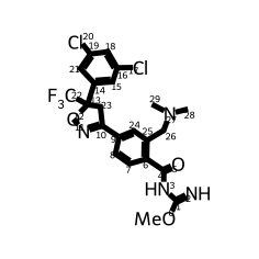 COC(=N)NC(=O)c1ccc(C2=NOC(c3cc(Cl)cc(Cl)c3)(C(F)(F)F)C2)cc1CN(C)C